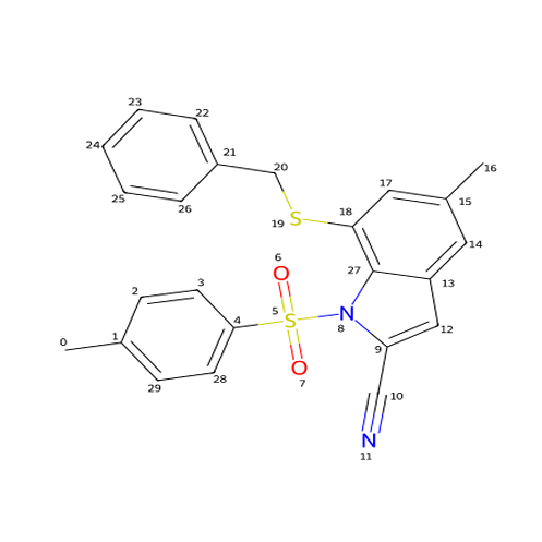 Cc1ccc(S(=O)(=O)n2c(C#N)cc3cc(C)cc(SCc4ccccc4)c32)cc1